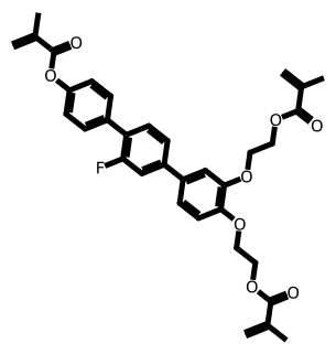 C=C(C)C(=O)OCCOc1ccc(-c2ccc(-c3ccc(OC(=O)C(=C)C)cc3)c(F)c2)cc1OCCOC(=O)C(=C)C